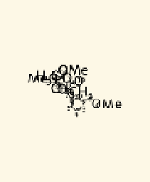 COCc1cccc(CC2(C)OC(C)(OC)C(C)(OC)OC2=O)c1